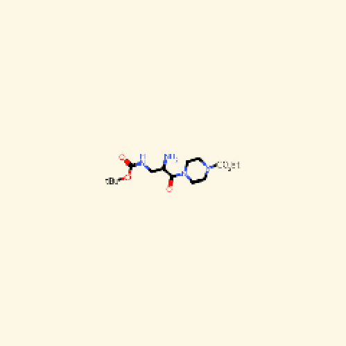 CCOC(=O)N1CCN(C(=O)C(N)CNC(=O)OC(C)(C)C)CC1